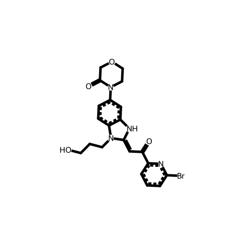 O=C(/C=C1\Nc2cc(N3CCOCC3=O)ccc2N1CCCO)c1cccc(Br)n1